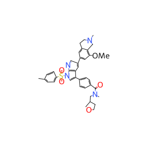 COc1cc(-c2cnc3c(c2)c(-c2ccc(C(=O)N(C)CC4CCOC4)cc2)cn3S(=O)(=O)c2ccc(C)cc2)cc2c1CN(C)CC2